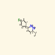 CCc1ccc(-c2ccc(F)cc2)nn1